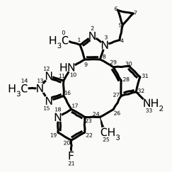 Cc1nn(CC2CC2)c2c1Nc1nn(C)nc1-c1ncc(F)cc1[C@H](C)Cc1cc-2ccc1N